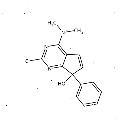 CN(C)c1nc(Cl)nc2c1C=CC2(O)c1ccccc1